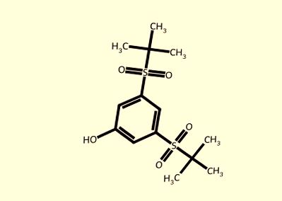 CC(C)(C)S(=O)(=O)c1cc(O)cc(S(=O)(=O)C(C)(C)C)c1